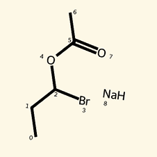 CCC(Br)OC(C)=O.[NaH]